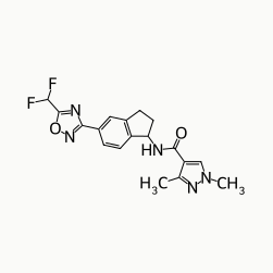 Cc1nn(C)cc1C(=O)NC1CCc2cc(-c3noc(C(F)F)n3)ccc21